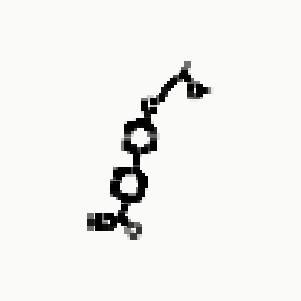 COC(C)CCOc1ccc(-c2ccc(C(=O)O)cc2)cc1